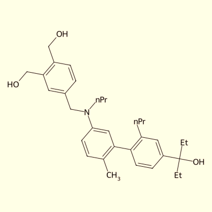 CCCc1cc(C(O)(CC)CC)ccc1-c1cc(N(CCC)Cc2ccc(CO)c(CO)c2)ccc1C